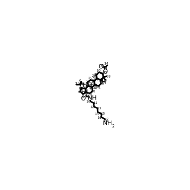 C=C(C)[C@@H]1CC[C@]2(C(=O)NCCCCCCCCN)CC[C@]3(C)[C@H](CCC4[C@@]5(C)CC[C@H](OC(C)=O)C(C)(C)[C@@H]5CC[C@]43C)[C@@H]12